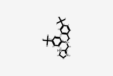 CC(C)(C)c1ccc(CN(CC2=NCCN2)c2ccc(C(C)(C)C)cc2)cc1